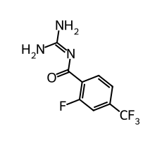 NC(N)=NC(=O)c1ccc(C(F)(F)F)cc1F